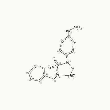 Cl.NNc1ccc(N2CCN(Cc3ccccc3)S2(=O)=O)cc1